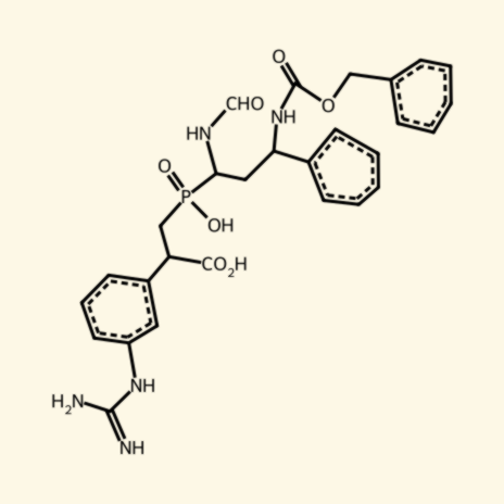 N=C(N)Nc1cccc(C(CP(=O)(O)C(CC(NC(=O)OCc2ccccc2)c2ccccc2)NC=O)C(=O)O)c1